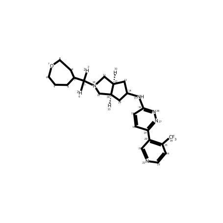 [2H]C([2H])(C1CCCOCC1)N1C[C@H]2CC(Nc3ccc(-c4cnccc4C(F)(F)F)nn3)C[C@H]2C1